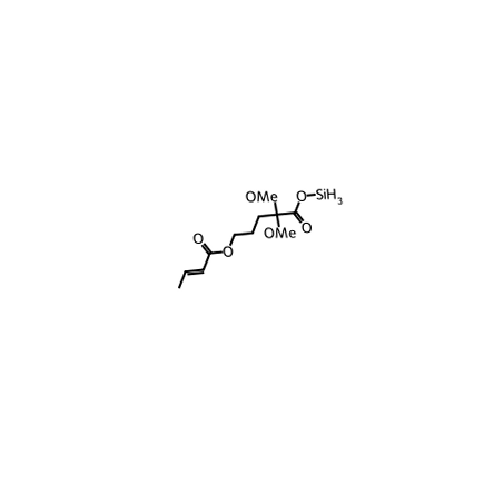 CC=CC(=O)OCCCC(OC)(OC)C(=O)O[SiH3]